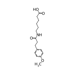 COc1ccc(CCC(=O)NCCCCCC(=O)O)cc1